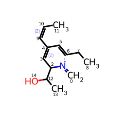 C=NC(/C=C(C=CCC)/C=C\C)C(C)O